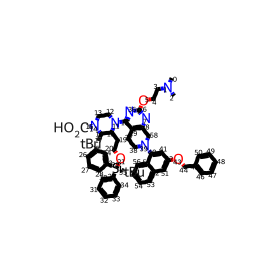 CN(C)CCOc1nc2c(c(N3CCN(C(=O)O)C(C(C)(C)C)C3CCO[Si](c3ccccc3)(c3ccccc3)C(C)(C)C)n1)CCN(c1cc(OCc3ccccc3)cc3ccccc13)C2